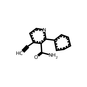 C#Cc1ccnc(-c2ccccc2)c1C(N)=O